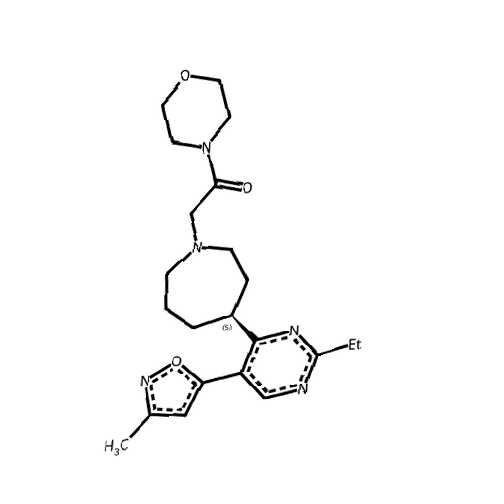 CCc1ncc(-c2cc(C)no2)c([C@H]2CCCN(CC(=O)N3CCOCC3)CC2)n1